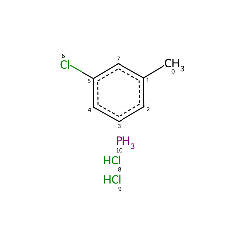 Cc1cccc(Cl)c1.Cl.Cl.P